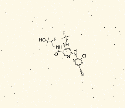 CC(C)(F)CNc1cc(Nc2ncc(C#N)cc2Cl)ncc1C(=O)NCC(F)C(C)(C)O